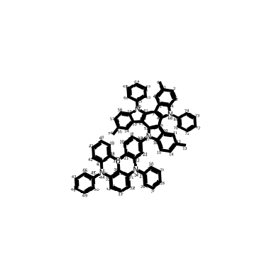 Cc1ccc2c(c1)c1c(c3c4cc(C)ccc4n(-c4ccc5c(c4)N(c4ccccc4)c4cccc6c4B5c4ccccc4N6c4ccccc4)c3c3c4cc(C)ccc4n(-c4ccccc4)c13)n2-c1ccccc1